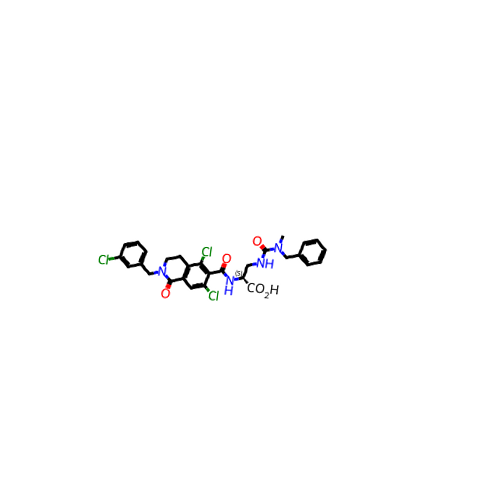 CN(Cc1ccccc1)C(=O)NC[C@H](NC(=O)c1c(Cl)cc2c(c1Cl)CCN(Cc1cccc(Cl)c1)C2=O)C(=O)O